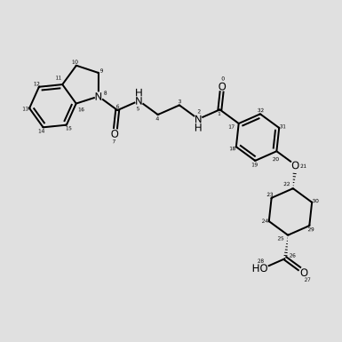 O=C(NCCNC(=O)N1CCc2ccccc21)c1ccc(O[C@H]2CC[C@@H](C(=O)O)CC2)cc1